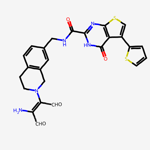 N/C(C=O)=C(/C=O)N1CCc2ccc(CNC(=O)c3nc4scc(-c5cccs5)c4c(=O)[nH]3)cc2C1